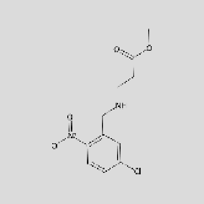 COC(=O)CCNCc1cc(Cl)ccc1[N+](=O)[O-]